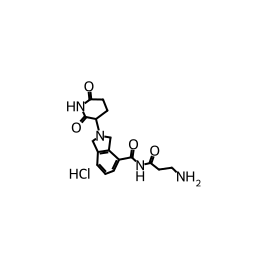 Cl.NCCC(=O)NC(=O)c1cccc2c1CN(C1CCC(=O)NC1=O)C2